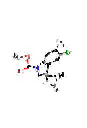 CC(C)(C)OC(=O)N1CC(C)(C)c2cc(Br)c(C(F)(F)F)cc21